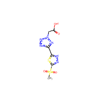 CS(=O)(=O)c1nnc(-c2nnn(CC(=O)O)n2)s1